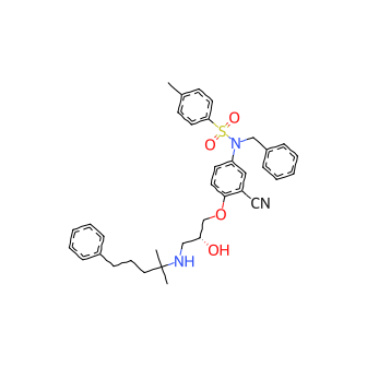 Cc1ccc(S(=O)(=O)N(Cc2ccccc2)c2ccc(OC[C@H](O)CNC(C)(C)CCCc3ccccc3)c(C#N)c2)cc1